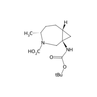 C[C@@H]1CC[C@@H]2C[C@]2(NC(=O)OC(C)(C)C)CN1C(=O)O